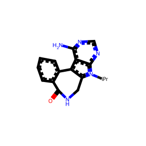 CC(C)n1c2c(c3c(N)ncnc31)-c1ccccc1C(=O)NC2